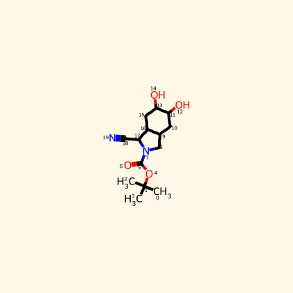 CC(C)(C)OC(=O)N1CC2CC(O)C(O)CC2C1C#N